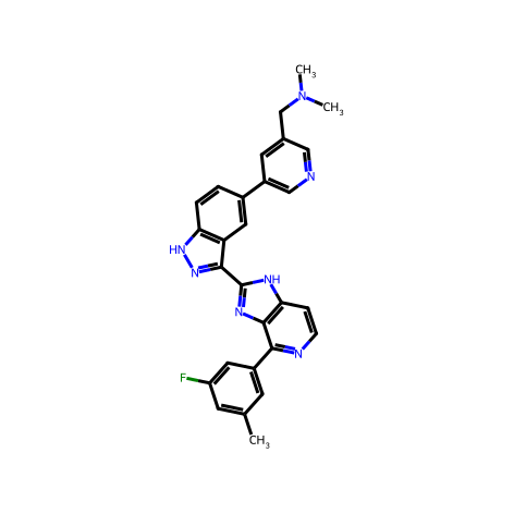 Cc1cc(F)cc(-c2nccc3[nH]c(-c4n[nH]c5ccc(-c6cncc(CN(C)C)c6)cc45)nc23)c1